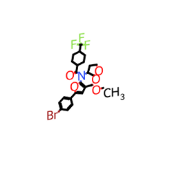 CCOC(=O)c1cc(-c2ccc(Br)cc2)oc1N(C(=O)C1CCC(C(F)(F)F)CC1)C1CCOC1